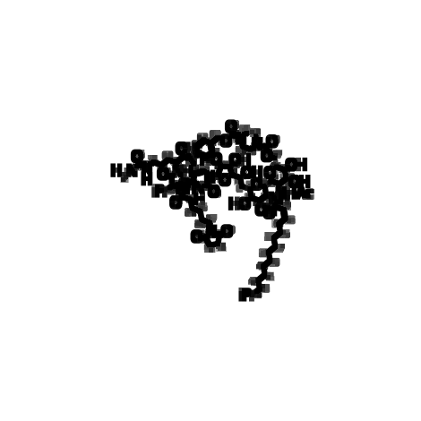 CC(=O)N[C@H]1C([C@@H]2O[C@H](C[C@@H](O)[C@H]3O[C@@H](n4ccc(=O)[nH]c4=O)[C@H](O)[C@@H]3O)[C@H](O)[C@H](O)[C@H]2NC(=O)/C=C\CCCCCCCCCCC(C)C)O[C@H](COC(=O)N(C)CCN(C)C(=O)OCc2ccc(NC(=O)C(CCCNC(N)=O)NC(=O)C(NC(=O)CCCCCN3C(=O)CCC3=O)C(C)C)cc2)[C@@H](O)[C@@H]1O